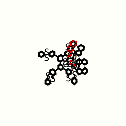 OCCOc1ccc2ccccc2c1-c1c(OCCOc2c(-c3ccc4c(c3)Sc3ccccc3S4)cc(-c3ccc4c(c3)Sc3ccccc3S4)cc2-c2cc(-c3ccc4c(c3)Sc3ccccc3S4)cc(-c3ccc4c(c3)Sc3ccccc3S4)c2OCCOc2ccc3ccccc3c2-c2c(OCCO)ccc3ccccc23)ccc2ccccc12